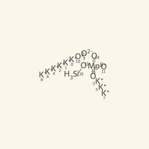 [K+].[K+].[K+].[K+].[K+].[K+].[K+].[K+].[K+].[O-2].[O-2].[O]=[Mn-5](=[O])(=[O])[O][SiH3]